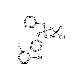 O=P(O)(O)OP(=O)(Oc1ccccc1)Oc1ccccc1.Oc1cccc(O)c1